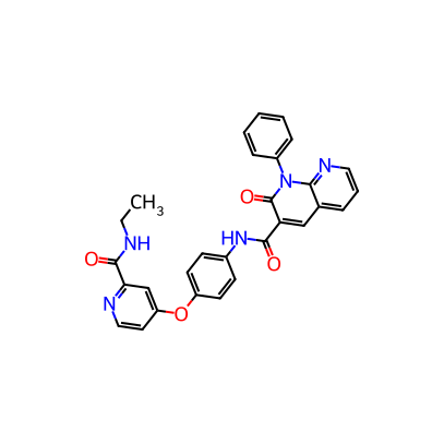 CCNC(=O)c1cc(Oc2ccc(NC(=O)c3cc4cccnc4n(-c4ccccc4)c3=O)cc2)ccn1